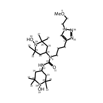 COCCn1cc(CCCN(C(=O)NC2CC(C)(C)N(O)C(C)(C)C2)C2CC(C)(C)N(O)C(C)(C)C2)nn1